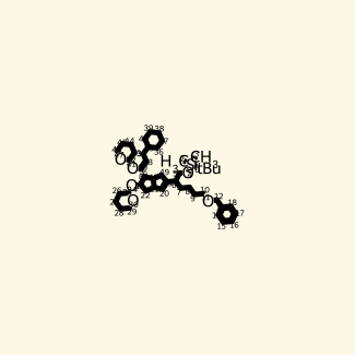 CC(C)(C)[Si](C)(C)OCC(CCCCOCc1ccccc1)C1=CC2C[C@@H](OC3CCCCO3)[C@H](C(=CCC3CCCCC3)OC3CCCCO3)C2C1